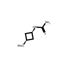 CO[C@H]1C[C@@H](NC(N)=S)C1